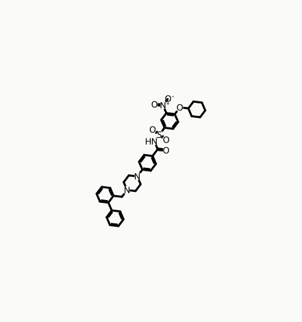 O=C(NS(=O)(=O)c1ccc(OC2CCCCC2)c([N+](=O)[O-])c1)c1ccc(N2CCN(Cc3ccccc3-c3ccccc3)CC2)cc1